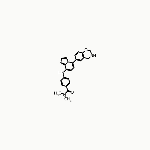 CN(C)C(=O)c1ccc(Nc2ccc(-c3ccc4c(c3)CNCO4)n3ccnc23)cc1